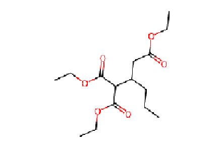 CCCC(CC(=O)OCC)C(C(=O)OCC)C(=O)OCC